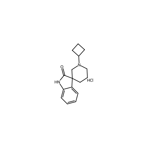 Cl.O=C1Nc2ccccc2C12CCCN(C1CCC1)C2